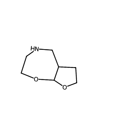 C1COC2OCCC2CN1